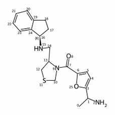 CC(N)c1ccc(C(=O)N2CSCC2CN[C@@H]2CCc3ccccc32)o1